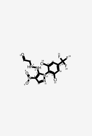 O=CCNNc1c([N+](=O)[O-])cnn1-c1c(Cl)cc(C(F)(F)F)cc1Cl